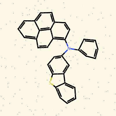 c1ccc(N(c2ccc3sc4ccccc4c3c2)c2ccc3ccc4cccc5ccc2c3c45)cc1